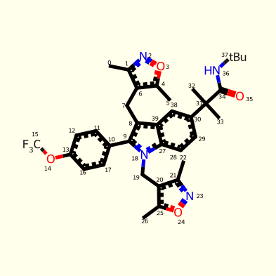 Cc1noc(C)c1Cc1c(-c2ccc(OC(F)(F)F)cc2)n(Cc2c(C)noc2C)c2ccc(C(C)(C)C(=O)NC(C)(C)C)cc12